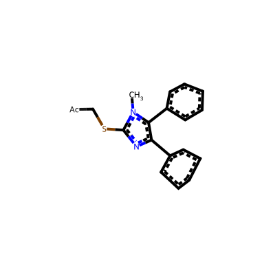 CC(=O)CSc1nc(-c2ccccc2)c(-c2ccccc2)n1C